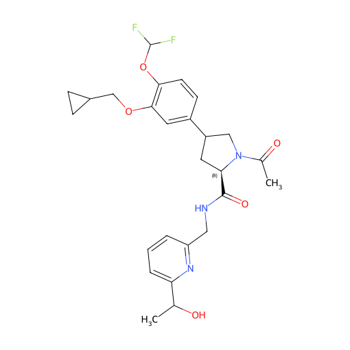 CC(=O)N1CC(c2ccc(OC(F)F)c(OCC3CC3)c2)C[C@@H]1C(=O)NCc1cccc(C(C)O)n1